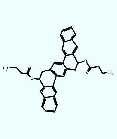 CCCC(=S)OC1Cc2cc3c(cc2-c2cc4ccccc4cc21)CC(OC(=S)CCC)c1cc2ccccc2cc1-3